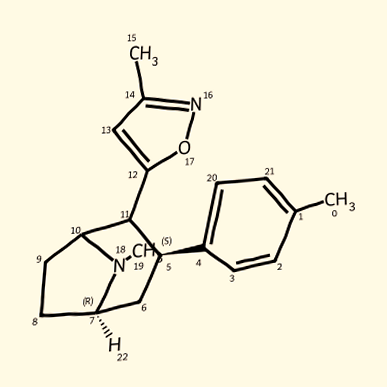 Cc1ccc([C@H]2C[C@H]3CCC(C2c2cc(C)no2)N3C)cc1